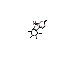 C=C1C=C[C@@]23CCN(Cc4c(C)c(C)c(C)c(C)c42)C3C1